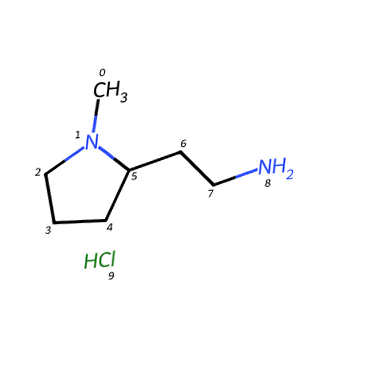 CN1CCCC1CCN.Cl